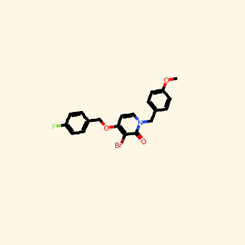 COc1ccc(Cn2ccc(OCc3ccc(F)cc3)c(Br)c2=O)cc1